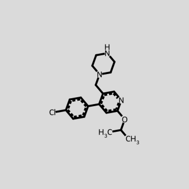 CC(C)Oc1cc(-c2ccc(Cl)cc2)c(CN2CCNCC2)cn1